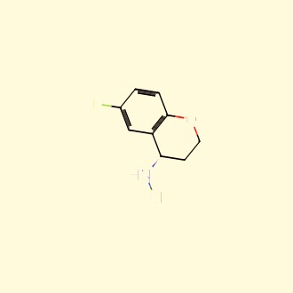 Fc1ccc2c(c1)[C@H](NCl)CCO2